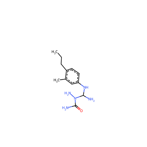 CCCc1ccc(NC(N)N(N)C(N)=O)cc1C